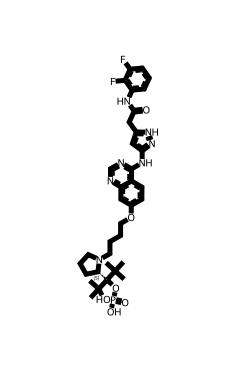 CC(C)(C)C(OP(=O)(O)O)([C@@H]1CCCN1CCCCOc1ccc2c(Nc3cc(CC(=O)Nc4cccc(F)c4F)[nH]n3)ncnc2c1)C(C)(C)C